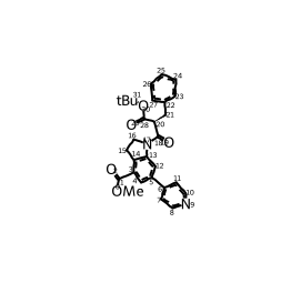 COC(=O)c1cc(-c2ccncc2)cc2c1CCN2C(=O)[C@H](Cc1ccccc1)C(=O)OC(C)(C)C